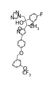 C[C@@H](c1cc(-c2ccc(OCc3cccc(OC(F)(F)F)c3)cc2)no1)[C@](O)(Cn1cncn1)c1ccc(F)cc1F